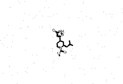 COC(=O)N1CCC(c2cc(=O)[nH]o2)CC1CC(C)C